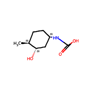 C[C@H]1CC[C@H](NC(=O)O)C[C@@H]1O